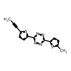 CC#Cc1ccc(-c2nnc(-c3ccc(C)s3)nn2)s1